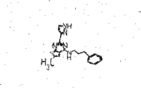 Cc1cc2c(NCCCc3ccccc3)nc(-c3cc[nH]n3)nc2s1